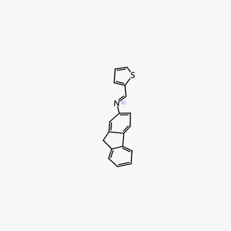 C(=N\c1ccc2c(c1)Cc1ccccc1-2)/c1cccs1